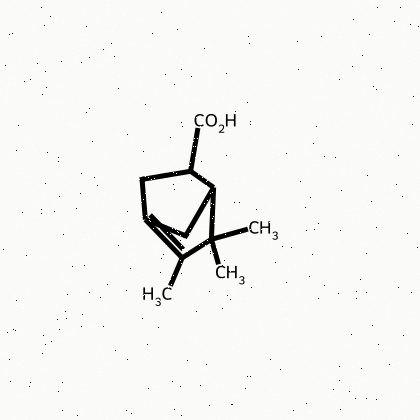 CC1=C2CC(C(=O)O)C(C2)C1(C)C